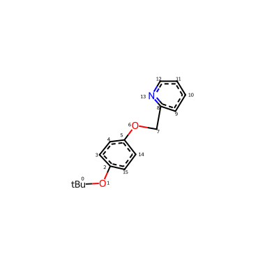 CC(C)(C)Oc1ccc(OCc2ccccn2)cc1